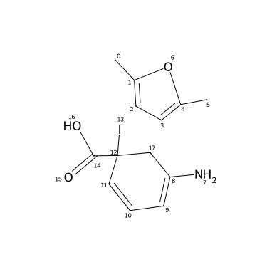 Cc1ccc(C)o1.NC1=CC=CC(I)(C(=O)O)C1